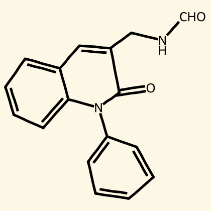 O=CNCc1cc2ccccc2n(-c2ccccc2)c1=O